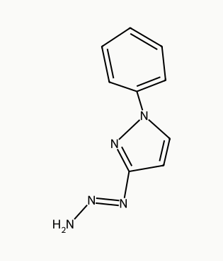 NN=Nc1ccn(-c2ccccc2)n1